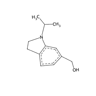 CC(C)N1CCc2ccc(CO)cc21